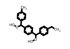 CCc1ccc(C(OO)c2ccc(C(OO)c3ccc(C)cc3)cc2)cc1